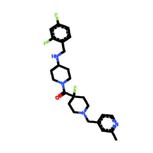 Cc1cc(CN2CCC(F)(C(=O)N3CCC(NCc4ccc(F)cc4F)CC3)CC2)ccn1